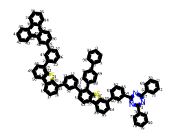 c1ccc(-c2ccc(-c3c(-c4cccc(-c5cccc6c5sc5c(-c7cccc(-c8ccc9c%10ccccc%10c%10ccccc%10c9c8)c7)cccc56)c4)ccc4c3sc3c(-c5cccc(-c6nc(-c7ccccc7)nc(-c7ccccc7)n6)c5)cccc34)cc2)cc1